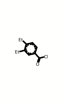 CCc1ccc(C(=O)Cl)cc1CC